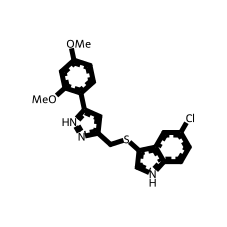 COc1ccc(-c2cc(CSc3c[nH]c4ccc(Cl)cc34)n[nH]2)c(OC)c1